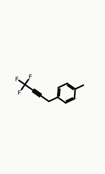 Cc1[c]cc(CC#CC(F)(F)F)cc1